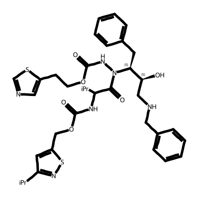 CC(C)c1cc(COC(=O)NC(C(=O)N(NC(=O)OCCc2cncs2)[C@@H](Cc2ccccc2)[C@@H](O)CNCc2ccccc2)C(C)C)sn1